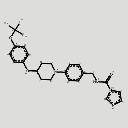 O=C(NCc1ccc(N2CCC(Oc3ccc(OC(F)(F)F)cc3)CC2)cc1)n1ccnc1